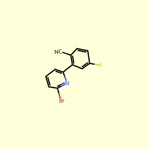 N#Cc1ccc(F)cc1-c1cccc(Br)n1